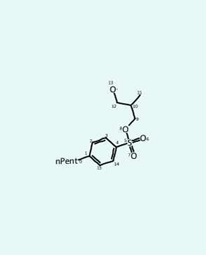 CCCCCc1ccc(S(=O)(=O)OCC(C)C[O])cc1